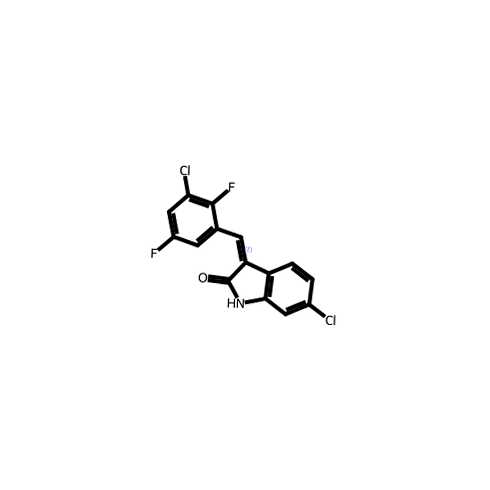 O=C1Nc2cc(Cl)ccc2/C1=C/c1cc(F)cc(Cl)c1F